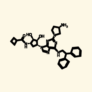 N[C@@H]1CCN(c2nc(NCC(c3ccccc3)c3ccccc3)c3ncn([C@@H]4C[C@H](NC(=O)C5CCC5)[C@@H](O)[C@H]4O)c3n2)C1